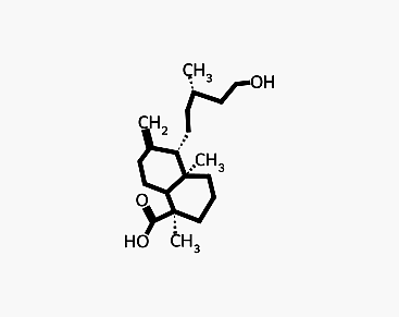 C=C1CCC2[C@](C)(C(=O)O)CCC[C@]2(C)[C@H]1CC[C@H](C)CCO